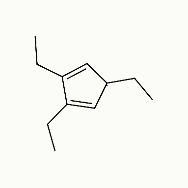 CC[C]1C=C(CC)C(CC)=C1